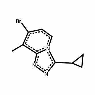 Cc1c(Br)ccn2c(C3CC3)nnc12